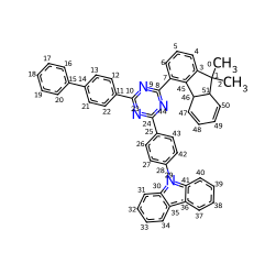 CC1(C)c2cccc(-c3nc(-c4ccc(-c5ccccc5)cc4)nc(-c4ccc(-n5c6ccccc6c6ccccc65)cc4)n3)c2C2C=CC=CC21